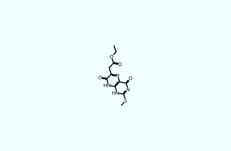 CCOC(=O)Cc1nc2c(=O)nc(SC)[nH]c2[nH]c1=O